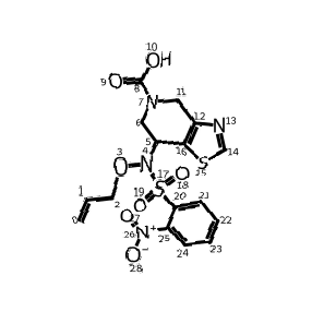 C=CCON(C1CN(C(=O)O)Cc2ncsc21)S(=O)(=O)c1ccccc1[N+](=O)[O-]